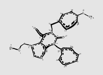 CCOCn1cnc2c1c(=O)n(Cc1ccc(OC(F)(F)F)cc1)c(=O)n2-c1ccccc1